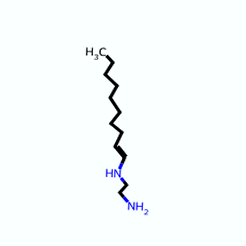 CCCCCCCCC=CNCCN